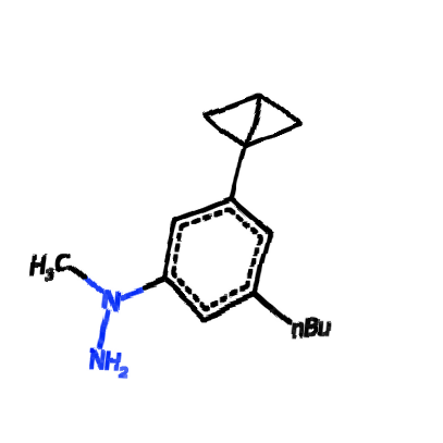 CCCCc1cc(N(C)N)cc(C23CC2C3)c1